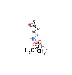 CC(C)(C)OC(=O)NCCC[C@@H]1CO1